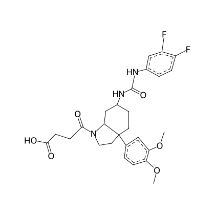 COc1ccc(C23CCC(NC(=O)Nc4ccc(F)c(F)c4)CC2N(C(=O)CCC(=O)O)CC3)cc1OC